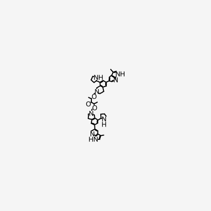 Cc1c[nH]c2ncc(-c3cc4c(c(C5CCCN5)c3)CN(COC(C)C(=O)C(C)OCN3CCc5cc(-c6cnc7[nH]cc(C)c7c6)cc(C6CCCN6)c5C3)CC4)cc12